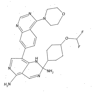 Nc1ncc(-c2ccc3c(N4CCOCC4)ncnc3c2)c2c1C=NC(N)(C1CCC(OC(F)F)CC1)N2